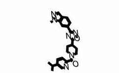 CC(C)c1ccc(C(=O)N2CCC(c3nc(-c4ccc5cnn(C)c5c4)no3)CC2)nc1